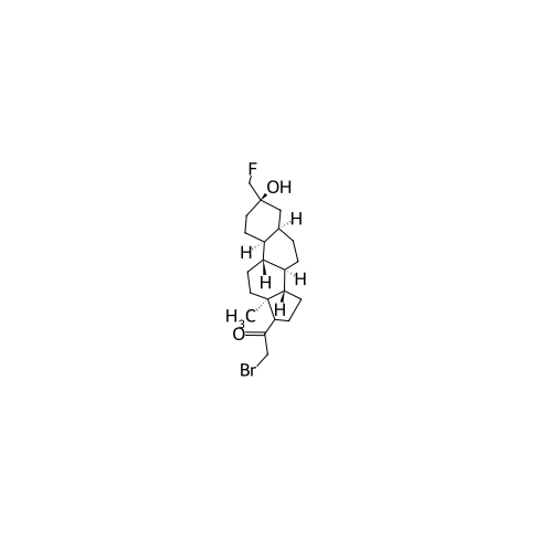 C[C@]12CC[C@H]3[C@@H](CC[C@@H]4C[C@@](O)(CF)CC[C@@H]43)[C@@H]1CCC2C(=O)CBr